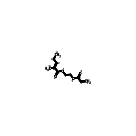 C=CC(=O)OCCOC(=O)C(C)=CCC